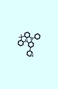 CC1(C)c2ccccc2N2c3cc(-c4cccnc4)ccc3B(c3ccccc3)c3cccc1c32